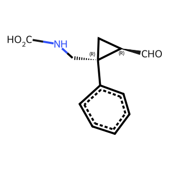 O=C[C@@H]1C[C@]1(CNC(=O)O)c1ccccc1